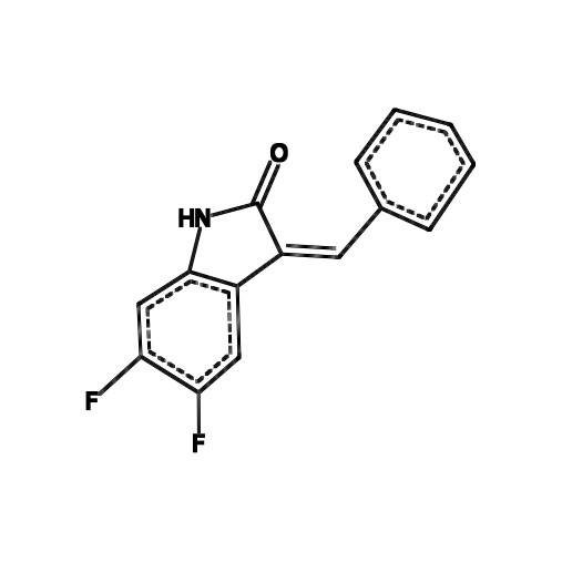 O=C1Nc2cc(F)c(F)cc2C1=Cc1ccccc1